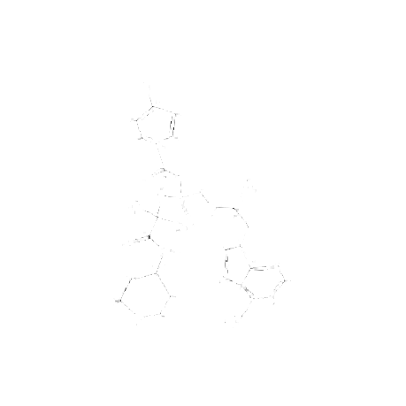 C[C@H](Cn1cnc2c(N)ncnc21)OCP(=O)(NC(=O)c1ccc(Cl)cc1)NC(C)(C)C(=O)OC1CCOCC1